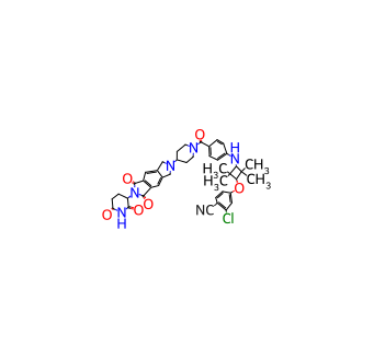 CC1(C)[C@H](Nc2ccc(C(=O)N3CCC(N4Cc5cc6c(cc5C4)C(=O)N([C@@H]4CCC(=O)NC4=O)C6=O)CC3)cc2)C(C)(C)[C@H]1Oc1ccc(C#N)c(Cl)c1